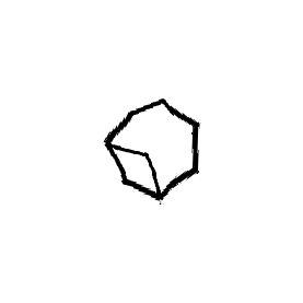 C1CCC2C[C](C1)C2